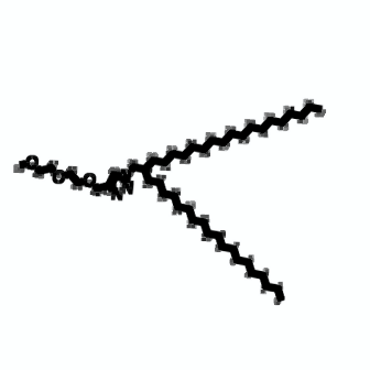 CCCCCCCCCCCCCCCCCCCC(CCCCCCCCCCCCCCCCCC)Cn1cc(COCCOCCOC)nn1